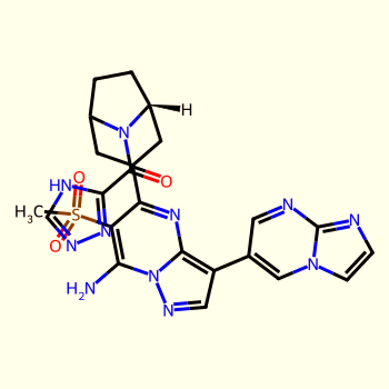 CS(=O)(=O)c1c(C2CC3CC[C@H](C2)N3C(=O)c2nnc[nH]2)nc2c(-c3cnc4nccn4c3)cnn2c1N